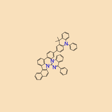 CC1(C)c2ccccc2N(c2ccccc2)c2ccc(-c3ccc(-c4cccc5c6c7ccccc7ccc6n(-c6nc(-c7ccccc7)c7ccccc7n6)c45)cc3)cc21